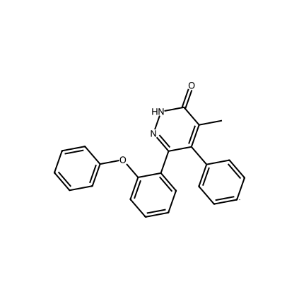 Cc1c(-c2cc[c]cc2)c(-c2ccccc2Oc2ccccc2)n[nH]c1=O